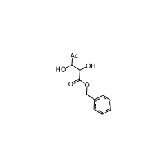 CC(=O)C(O)C(O)C(=O)OCc1ccccc1